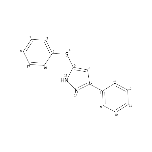 c1ccc(Sc2cc(-c3ccccc3)n[nH]2)cc1